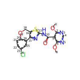 COc1ncnc(OC)c1C(=O)Nc1nc2c(s1)COc1ccc(Cl)cc1-2